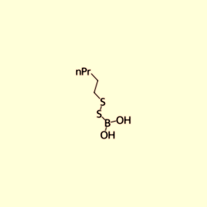 CCCCCSSB(O)O